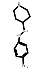 Cc1ccc(NNC2CCNCC2)cc1